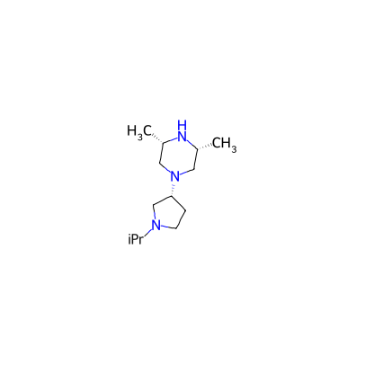 CC(C)N1CC[C@@H](N2C[C@@H](C)N[C@@H](C)C2)C1